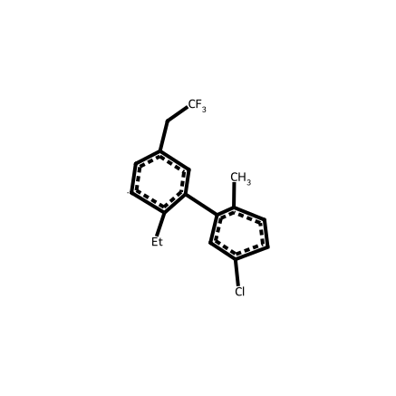 CCc1[c]cc(CC(F)(F)F)cc1-c1cc(Cl)ccc1C